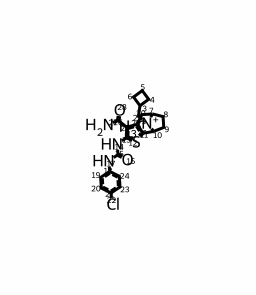 C[N+]1(CC2CCC2)C2CCC1c1sc(NC(=O)Nc3ccc(Cl)cc3)c(C(N)=O)c1C2